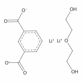 O=C([O-])c1cccc(C(=O)[O-])c1.OCCOCCO.[Li+].[Li+]